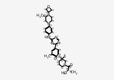 Cc1cc(-c2ncnc(Nc3ccc(N4CCN(C5COC5)[C@H](C)C4)cc3)n2)ccc1O[C@H]1CCN(C(=O)[C@H](C)O)CC1(F)F